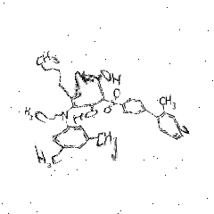 CCCCc1nc(O)c(S(=O)(=O)c2ccc(-c3ccncc3C)cc2)c(O)c1N(CC)c1cc(C)cc(C)c1